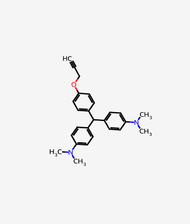 C#CCOc1ccc(C(c2ccc(N(C)C)cc2)c2ccc(N(C)C)cc2)cc1